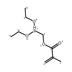 C=C(C)C(=O)OC[SiH](OCC)OCC